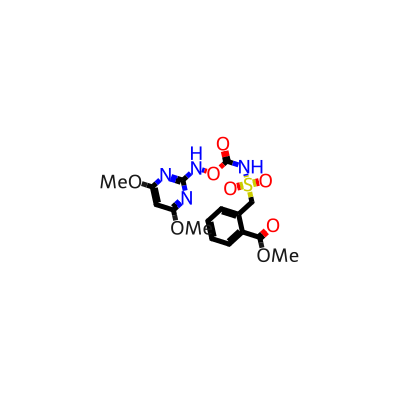 COC(=O)c1ccccc1CS(=O)(=O)NC(=O)ONc1nc(OC)cc(OC)n1